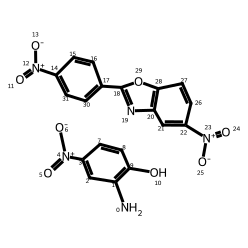 Nc1cc([N+](=O)[O-])ccc1O.O=[N+]([O-])c1ccc(-c2nc3cc([N+](=O)[O-])ccc3o2)cc1